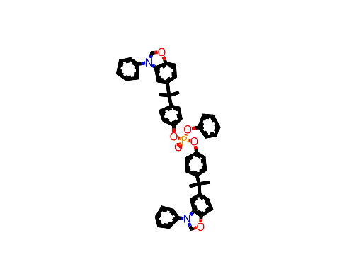 CC(C)(c1ccc(OP(=O)(Oc2ccccc2)Oc2ccc(C(C)(C)c3ccc4c(c3)N(c3ccccc3)CO4)cc2)cc1)c1ccc2c(c1)N(c1ccccc1)CO2